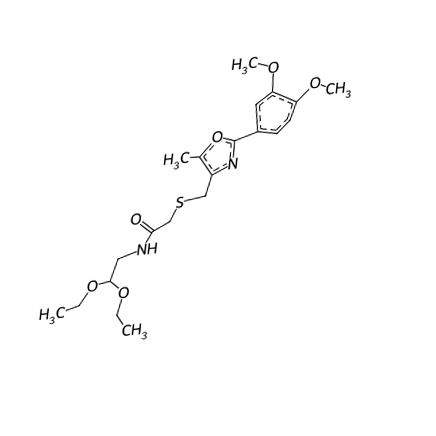 CCOC(CNC(=O)CSCc1nc(-c2ccc(OC)c(OC)c2)oc1C)OCC